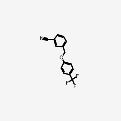 N#Cc1cccc(COc2ccc(C(F)(F)F)cc2)c1